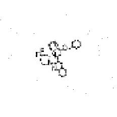 FC1(F)CCCN(c2nc3ccccc3cc2-c2cc(OCc3ccccc3)c3ncccc3n2)CC1